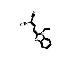 [C-]#[N+]C(C#N)=CC=C1Oc2ccccc2N1CC